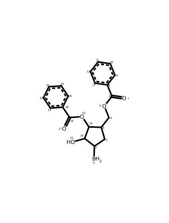 BC1CC(COC(=O)c2ccccc2)C(OC(=O)c2ccccc2)C1O